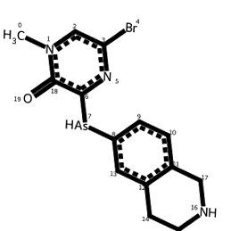 Cn1cc(Br)nc([AsH]c2ccc3c(c2)CCNC3)c1=O